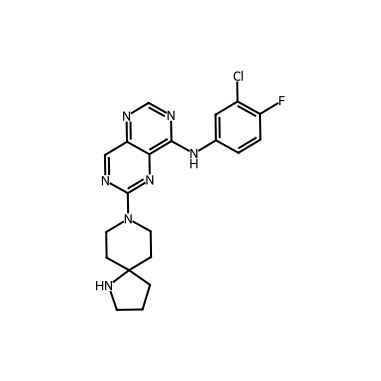 Fc1ccc(Nc2ncnc3cnc(N4CCC5(CCCN5)CC4)nc23)cc1Cl